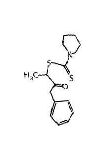 CC(SC(=S)N1CCCCC1)C(=O)Cc1ccccc1